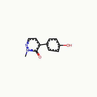 Cn1nccc(-c2ccc(O)cc2)c1=O